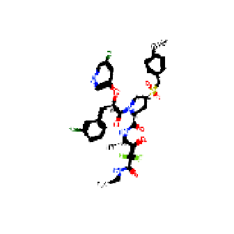 COc1ccc(CS(=O)(=O)[C@@H]2C[C@@H](C(=O)N[C@H](C(=O)C(F)(F)C(=O)NCC(F)(F)F)C(C)C)N(C(=O)[C@@H](Cc3cccc(Cl)c3)Oc3cncc(Cl)c3)C2)cc1